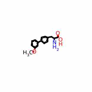 COc1cccc(-c2ccc(CC(N)C(=O)O)cc2)c1